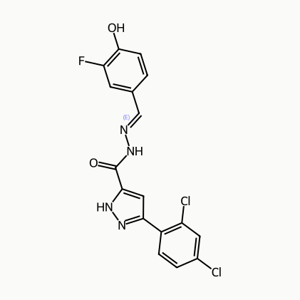 O=C(N/N=C/c1ccc(O)c(F)c1)c1cc(-c2ccc(Cl)cc2Cl)n[nH]1